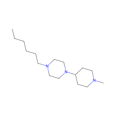 CCCCCCN1CCN(C2CCN(C)CC2)CC1